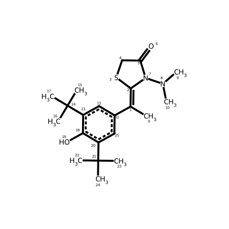 CC(=C1SCC(=O)N1N(C)C)c1cc(C(C)(C)C)c(O)c(C(C)(C)C)c1